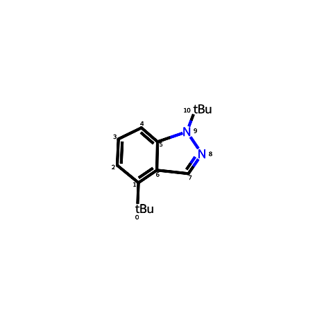 CC(C)(C)c1cccc2c1cnn2C(C)(C)C